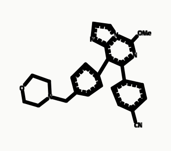 COc1nc(-c2ccc(C#N)cc2)c(-c2ccc(CN3CCOCC3)cc2)c2nccn12